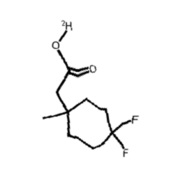 [2H]OC(=O)CC1(C)CCC(F)(F)CC1